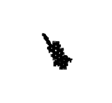 CC#CC#Cc1ccc2c3ccc4c5c(ccc(c6cccc1c62)c53)C(=O)N(c1c(C(C)C)cccc1C(C)C)C4=O